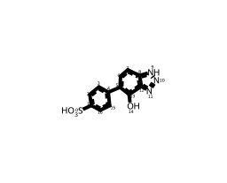 O=S(=O)(O)c1ccc(-c2ccc3[nH]nnc3c2O)cc1